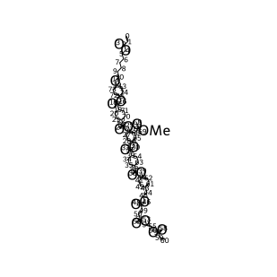 C=CC(=O)OCCCCCCOc1ccc(OC(=O)C2CCC(C(=O)Oc3ccc(OC(=O)C4CCC(C(=O)Oc5ccc(CCOC(=O)CCC(=O)OCCOC(=O)C=C)cc5)CC4)cc3C(=O)OC)CC2)cc1